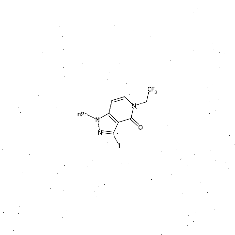 CCCn1nc(I)c2c(=O)n(CC(F)(F)F)ccc21